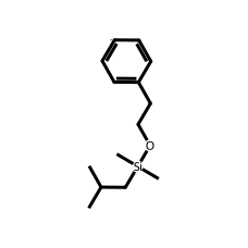 CC(C)C[Si](C)(C)OCCc1cc[c]cc1